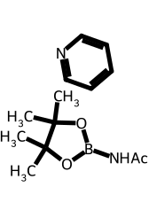 CC(=O)NB1OC(C)(C)C(C)(C)O1.c1ccncc1